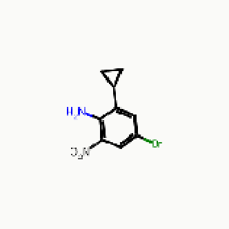 Nc1c(C2CC2)cc(Br)cc1[N+](=O)[O-]